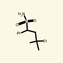 CCC(C)(C)CC(C(C)C)S(N)(=O)=O